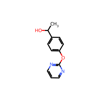 CC(O)c1ccc(Oc2ncccn2)cc1